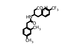 Cc1ccc(CC(=O)NC(CC(=O)O)Cc2ccc(C(F)(F)F)cc2)c(C)c1